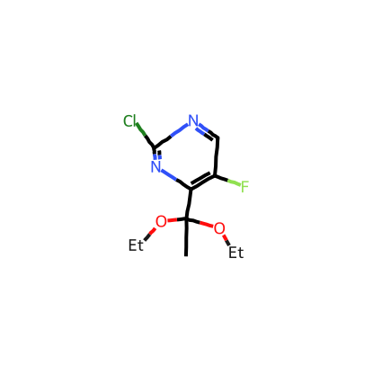 CCOC(C)(OCC)c1nc(Cl)ncc1F